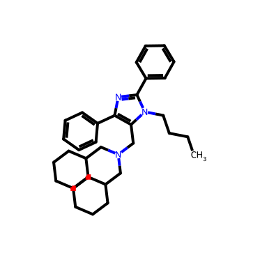 CCCCn1c(-c2ccccc2)nc(-c2ccccc2)c1CN(CC1CCCCC1)CC1CCCCC1